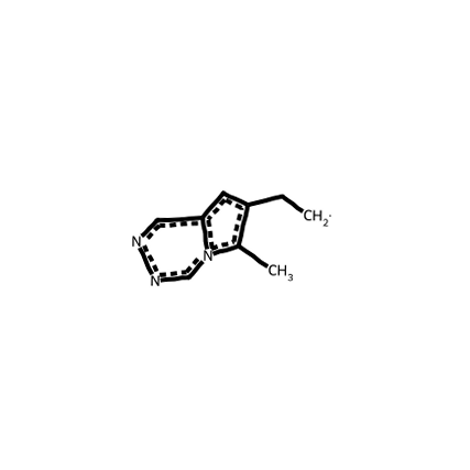 [CH2]Cc1cc2cnncn2c1C